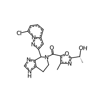 Cc1nc([C@@H](C)O)oc1C(=O)N1CCc2[nH]cnc2C1c1cc2cccc(Cl)n2n1